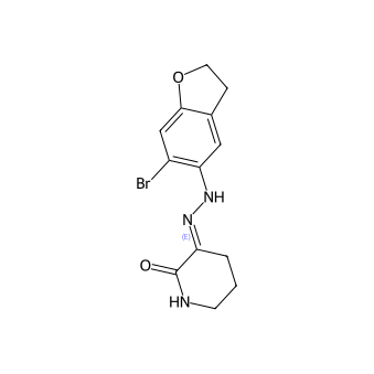 O=C1NCCC/C1=N\Nc1cc2c(cc1Br)OCC2